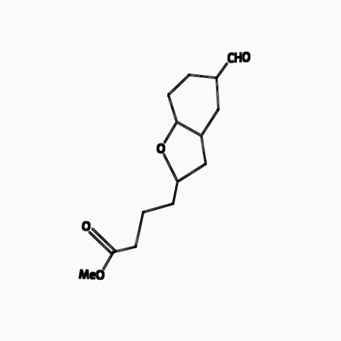 COC(=O)CCCC1CC2CC(C=O)CCC2O1